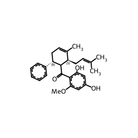 COc1cc(O)cc(O)c1C(=O)C1[C@H](CC=C(C)C)C(C)=CC[C@H]1c1ccccc1